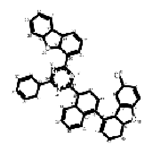 ClC1C=CC2=C(C1)C1C(C3=C4C=CC=CC4C(c4nc(C5=CC=CC6C5OC5C=CC=CC56)nc(C5C=CC=CC5)n4)CC3)=CCCC1O2